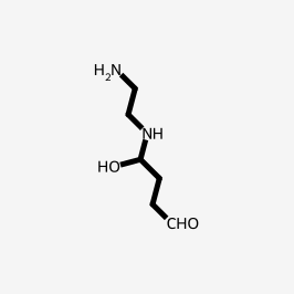 NCCNC(O)CCC=O